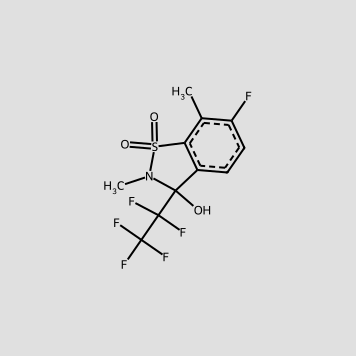 Cc1c(F)ccc2c1S(=O)(=O)N(C)C2(O)C(F)(F)C(F)(F)F